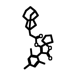 Cc1cc(C)c(C2=C(OC(=O)CC34CC5CCCC(C3)C(C5)C4)C3(CCCC3)OC2=O)c(C)c1